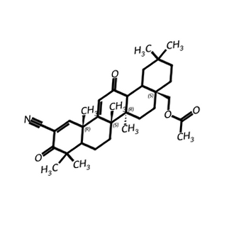 CC(=O)OC[C@]12CCC(C)(C)CC1C1C(=O)C=C3[C@@]4(C)C=C(C#N)C(=O)C(C)(C)C4CC[C@@]3(C)[C@]1(C)CC2